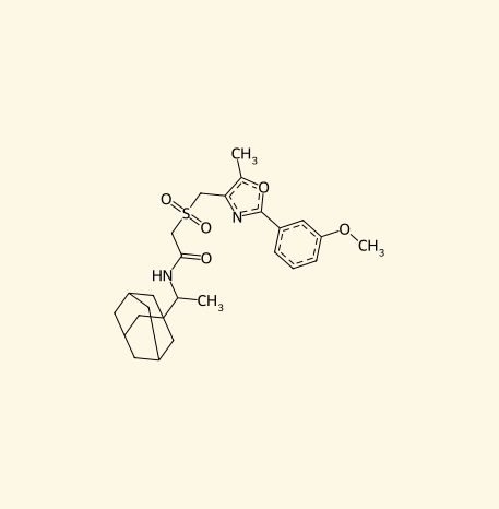 COc1cccc(-c2nc(CS(=O)(=O)CC(=O)NC(C)C34CC5CC(CC(C5)C3)C4)c(C)o2)c1